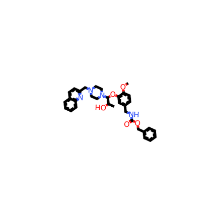 COc1ccc(CNC(=O)OCc2ccccc2)cc1OC(C(C)O)N1CCN(Cc2ccc3ccccc3n2)CC1